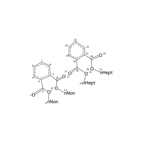 CCCCCCCCCOC(=O)c1ccccc1C(=O)OCCCCCCCCC.CCCCCCCOC(=O)c1ccccc1C(=O)OCCCCCCC